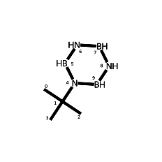 CC(C)(C)N1BNBNB1